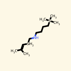 CC(C)=C[SiH2]CNCCCC[Si](C)(C)C